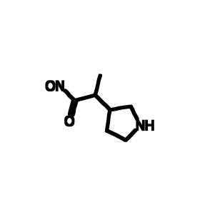 CC(C(=O)N=O)C1CCNC1